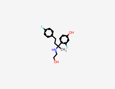 CC(CCc1ccc(F)cc1)(NCCO)c1ccc(O)cc1F